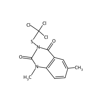 Cc1ccc2c(c1)c(=O)n(SC(Cl)(Cl)Cl)c(=O)n2C